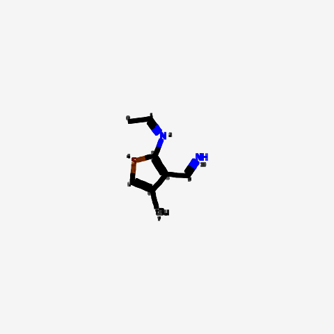 C/C=N\c1scc(C(C)(C)C)c1C=N